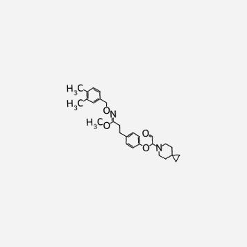 COC(CCc1ccc(OC(C=O)N2CCC3(CC2)CC3)cc1)=NOCc1ccc(C)c(C)c1